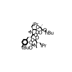 CCCCOC(=O)[C@@H](C)OC(=O)[C@H](CC(C)C)N(C)C(=O)[C@@H](Cc1ccc(C)cc1)OC(=O)[C@H](CC(C)C)N(C)C(=O)OC(C)(C)C